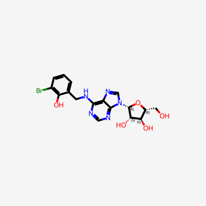 OC[C@H]1O[C@@H](n2cnc3c(NCc4cccc(Br)c4O)ncnc32)[C@@H](O)[C@@H]1O